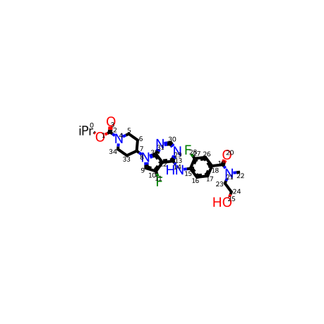 CC(C)OC(=O)N1CCC(n2cc(F)c3c(Nc4ccc(C(=O)N(C)CCO)cc4F)ncnc32)CC1